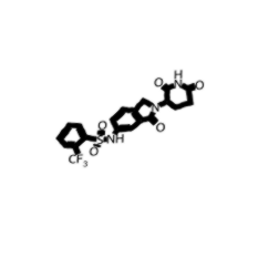 O=C1CCC(N2Cc3ccc(NS(=O)(=O)c4ccccc4C(F)(F)F)cc3C2=O)C(=O)N1